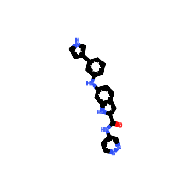 O=C(Nc1ccnnc1)c1cc2ccc(Nc3cccc(-c4cc[nH]c4)c3)cc2[nH]1